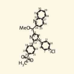 COC(c1cn(-c2ccc(Cl)cc2)c(-c2ccc(S(C)(=O)=O)cc2)n1)c1ccc2ccccc2n1